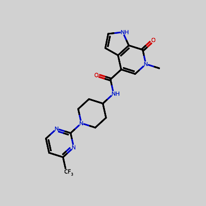 Cn1cc(C(=O)NC2CCN(c3nccc(C(F)(F)F)n3)CC2)c2cc[nH]c2c1=O